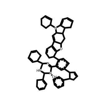 CN1C(c2cc(C3C=CCC3c3ccccc3)ccc2C2CC=CC3=C2OC2CC4C5CC=CC=C5N(C5C=CCCC5)C4C=C32)=NC(C2C=CC=CC2)NC1C1=CC=CCC1